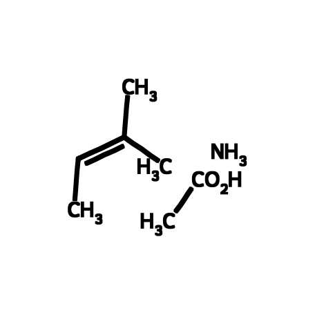 CC(=O)O.CC=C(C)C.N